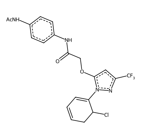 CC(=O)Nc1ccc(NC(=O)COc2cc(C(F)(F)F)nn2C2=CC=CCC2Cl)cc1